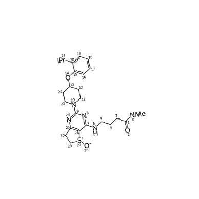 CNC(=O)CCCNc1nc(N2CCC(Oc3ccccc3C(C)C)CC2)nc2c1[S+]([O-])CC2